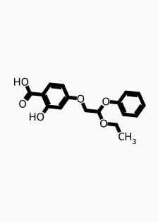 CCOC(COc1ccc(C(=O)O)c(O)c1)Oc1ccccc1